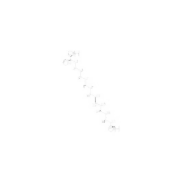 O=C(O)CCCCCCCC/C=C/CCCCCO